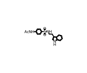 CC(=O)Nc1ccc(S(=O)(=O)NCCc2c[nH]c3ccccc23)cc1